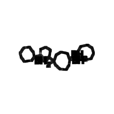 BC1(BC2CCCCCCC2)CCCCC(C)(C23CCCC(C4(B)CCCCCCC4)(CC2)C3)CCC1